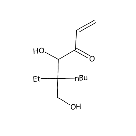 C=CC(=O)C(O)C(CC)(CO)CCCC